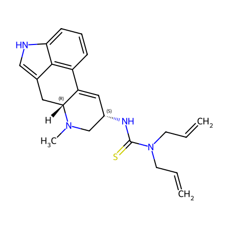 C=CCN(CC=C)C(=S)N[C@H]1C=C2c3cccc4[nH]cc(c34)C[C@H]2N(C)C1